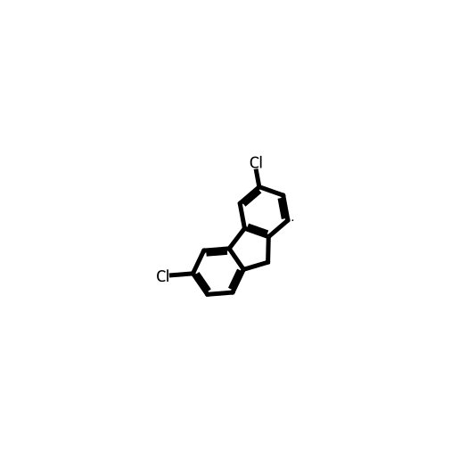 Clc1c[c]c2c(c1)-c1cc(Cl)ccc1C2